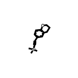 C[Si](C)(C)C#Cc1ccc2c(c1)CCCO2